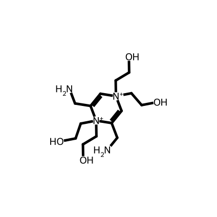 NCC1=C[N+](CCO)(CCO)C=C(CN)[N+]1(CCO)CCO